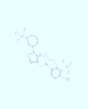 CC1Cc2c(ccc(Br)c2C(F)(F)F)N1Cc1noc(-c2cccc(C(F)(F)F)c2)n1